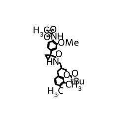 COc1cc(C2(C(=O)NCC(COC(=O)C(C)(C)C)Cc3ccc(C)c(C)c3)CC2)ccc1NS(C)(=O)=O